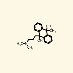 CN(C)CCCC1(O)c2ccccc2C(C)(C)c2ccccc21